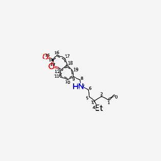 C=CCC(CC)CCNCc1ccc2oc(=O)ccc2c1